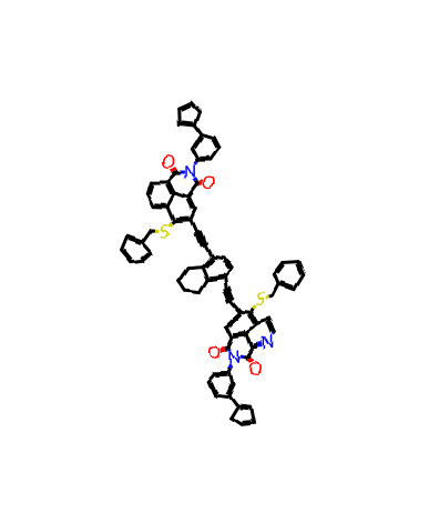 O=C1c2cccc3c(SCc4ccccc4)c(C#Cc4ccc(C#Cc5cc6c7c(nccc7c5SCc5ccccc5)C(=O)N(c5cccc(C7=CC=CC7)c5)C6=O)c5c4CCCC5)cc(c23)C(=O)N1c1cccc(C2=CC=CC2)c1